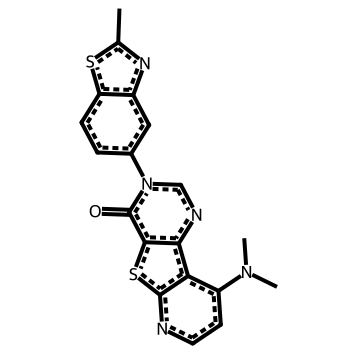 Cc1nc2cc(-n3cnc4c(sc5nccc(N(C)C)c54)c3=O)ccc2s1